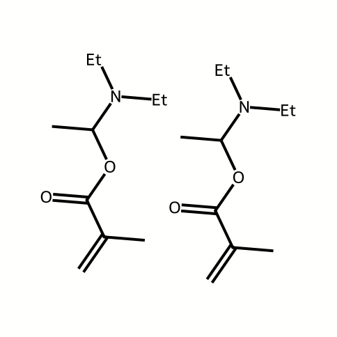 C=C(C)C(=O)OC(C)N(CC)CC.C=C(C)C(=O)OC(C)N(CC)CC